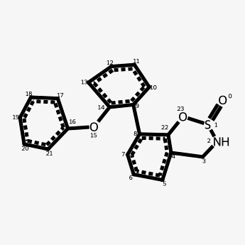 O=S1NCc2cccc(-c3ccccc3Oc3ccccc3)c2O1